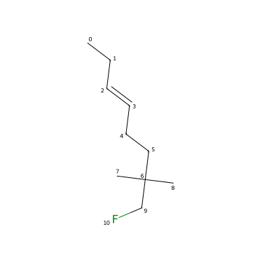 CCC=CCCC(C)(C)CF